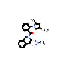 Cc1cc(C(=O)O)cn1-c1ccccc1C(=O)N1Cc2ccccc2C[C@H]1CN(C)C